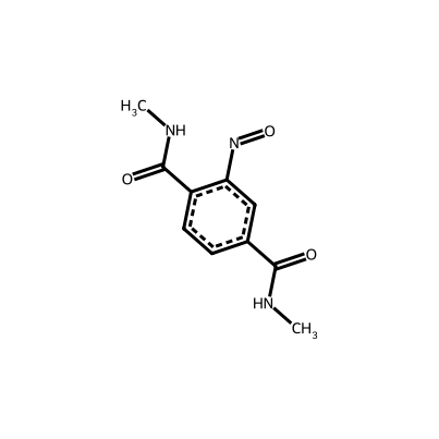 CNC(=O)c1ccc(C(=O)NC)c(N=O)c1